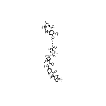 C=C1C[C@H]2C=Nc3cc(OCCCC(=O)Nc4cn(C)c(C(=O)Nc5cc(C(=O)Nc6cc(C(=O)Nc7ccc8c(ccn8C(C)(C)C)c7)n(C)c6)n(C)c5)n4)c(OC)cc3C(=O)N2C1